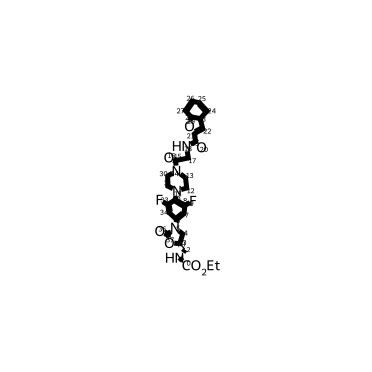 CCOC(=O)NC[C@H]1CN(c2cc(F)c(N3CCN(C(=O)CNC(=O)C4=CC5C=CC=CC5O4)CC3)c(F)c2)C(=O)O1